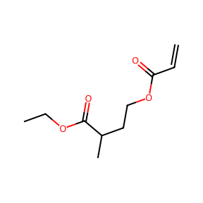 C=CC(=O)OCCC(C)C(=O)OCC